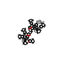 Cc1cc2c3c(c1)N(c1ccc4c(c1)C(C)(C)CCC4(C)C)c1c(oc4c1C(C)(C)CCC4(C)C)B3c1cc3c(cc1N2c1cc2c(cc1-c1cccc(CC4(C)CCC(C)(C)c5cc6c(cc54)B4c5oc7c(c5N(c5ccc8c(c5)C(C)(C)CCC8(C)C)c5cc(C(C)(C)C)cc(c54)N6c4cc5c(cc4-c4ccccc4)C(C)(C)CCC5(C)C)C(C)(C)CCC7(C)C)c1)C(C)(C)CCC2(C)C)C(C)(C)CCC3(C)C